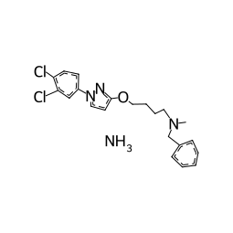 CN(CCCCOc1ccn(-c2ccc(Cl)c(Cl)c2)n1)Cc1ccccc1.N